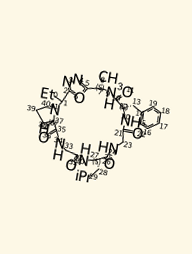 CCC1c2nnc(o2)[C@H](C)NC(=O)[C@H](Cc2ccccc2)NC(=O)CNC(=O)[C@H](CC(C)C)NC(=O)CNC(=O)[C@@H]2CCCN12